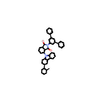 Cc1ccccc1-c1ccc2c(c1)c1ccccc1n2-c1cccc2c1C(=O)N(c1cc(-c3ccccc3)cc(-c3ccccc3)c1)C2=O